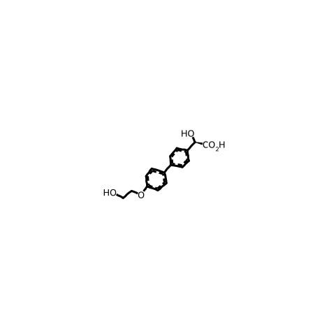 O=C(O)[C@H](O)c1ccc(-c2ccc(OCCO)cc2)cc1